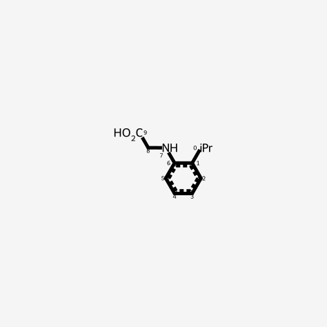 CC(C)c1ccccc1NCC(=O)O